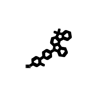 Cc1cc(C#N)ccc1-c1ccc(-n2c3ccccc3c3c4c(ccc32)C(C)(C)c2ccccc2-4)cc1